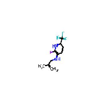 C=C(C)CNC1=C(I)NC(C(F)(F)F)C=C1